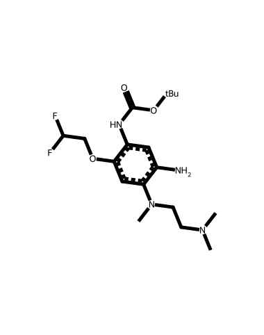 CN(C)CCN(C)c1cc(OCC(F)F)c(NC(=O)OC(C)(C)C)cc1N